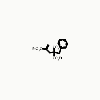 C=C(CC(Cc1ccccc1)(C(=O)OCC)C(=O)OCC)C(=O)OCC